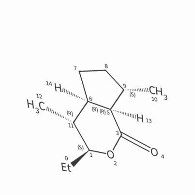 CC[C@@H]1OC(=O)[C@H]2[C@H](CC[C@@H]2C)[C@H]1C